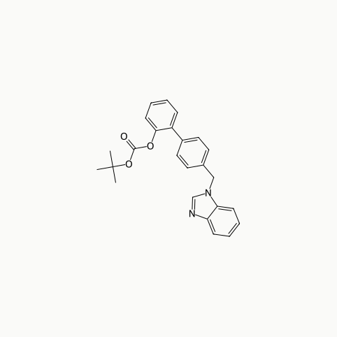 CC(C)(C)OC(=O)Oc1ccccc1-c1ccc(Cn2cnc3ccccc32)cc1